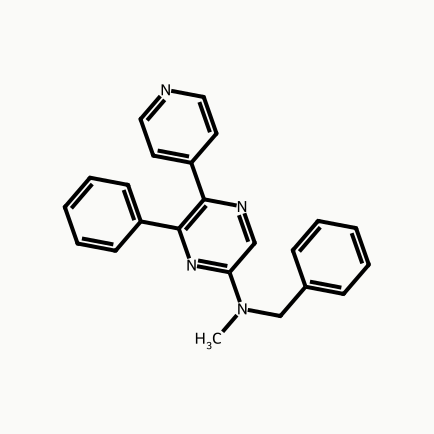 CN(Cc1ccccc1)c1cnc(-c2ccncc2)c(-c2ccccc2)n1